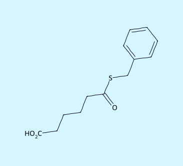 O=C(O)CCCCC(=O)SCc1ccccc1